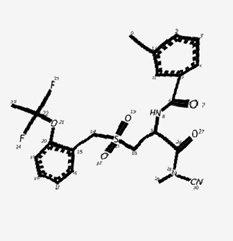 Cc1cccc(C(=O)NC(CS(=O)(=O)Cc2ccccc2OC(C)(F)F)C(=O)N(C)C#N)c1